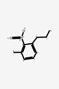 [CH2]CCc1cccc(C)c1[N+](=O)[O-]